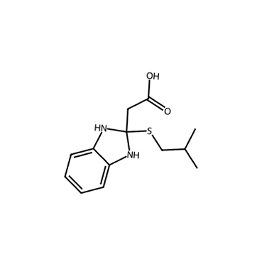 CC(C)CSC1(CC(=O)O)Nc2ccccc2N1